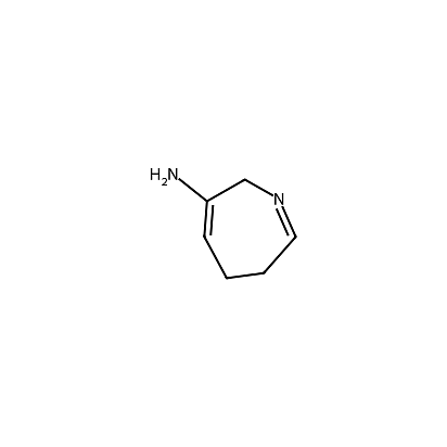 NC1=CCCC=NC1